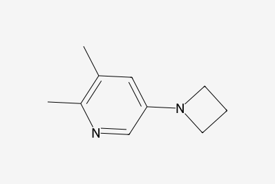 Cc1cc(N2CCC2)cnc1C